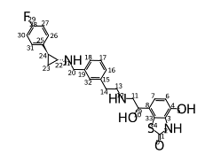 O=c1[nH]c2c(O)ccc([C@@H](O)CNCCc3cccc(CN[C@@H]4C[C@H]4c4ccc(F)cc4)c3)c2s1